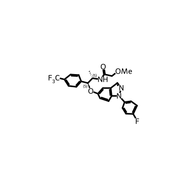 COCC(=O)N[C@@H](C)[C@@H](Oc1ccc2c(cnn2-c2ccc(F)cc2)c1)c1ccc(C(F)(F)F)cc1